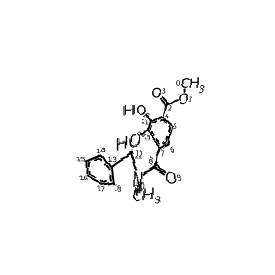 COC(=O)c1ccc(C(=O)N(C)Cc2ccccc2)c(O)c1O